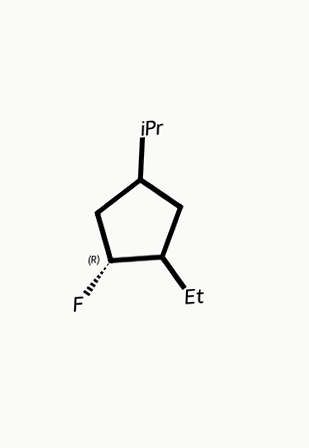 CCC1CC(C(C)C)C[C@H]1F